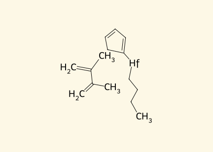 C=C(C)C(=C)C.CCC[CH2][Hf][C]1=CC=CC1